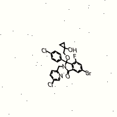 O=C1c2cc(Br)cc(F)c2C(OCC2(O)CC2)(c2ccc(Cl)cc2)N1Cc1ccc(Cl)cn1